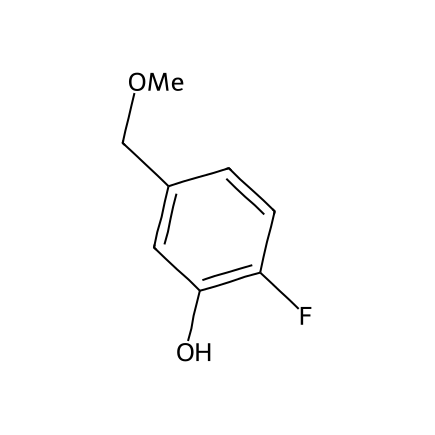 COCc1ccc(F)c(O)c1